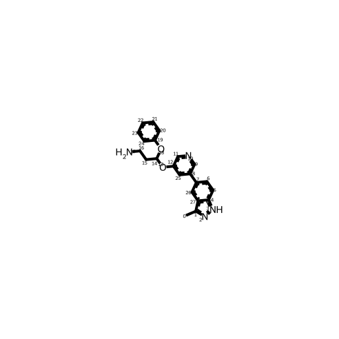 Cc1n[nH]c2ccc(-c3cncc(OC(CCN)Oc4ccccc4)c3)cc12